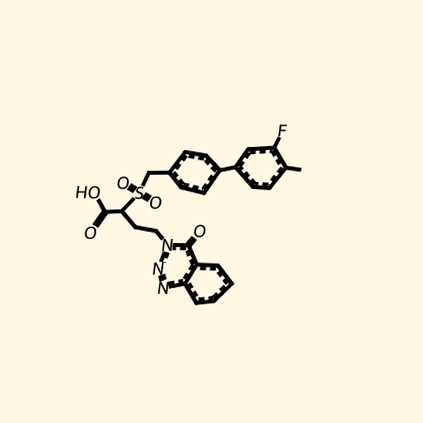 Cc1ccc(-c2ccc(CS(=O)(=O)C(CCn3nnc4ccccc4c3=O)C(=O)O)cc2)cc1F